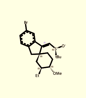 CC[C@H]1C[C@@]2(CC[C@@H]1OC)Cc1ccc(Br)cc1/C2=C/[S@@+]([O-])C(C)(C)C